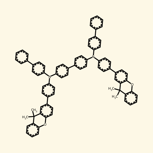 CC1(C)c2ccccc2Oc2ccc(-c3ccc(N(c4ccc(-c5ccccc5)cc4)c4ccc(-c5ccc(N(c6ccc(-c7ccccc7)cc6)c6ccc(-c7ccc8c(c7)C(C)(C)c7ccccc7O8)cc6)cc5)cc4)cc3)cc21